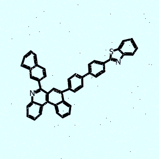 c1ccc2cc(-c3nc4ccccc4c4c3cc(-c3ccc(-c5ccc(-c6nc7ccccc7s6)cc5)cc3)c3ccccc34)ccc2c1